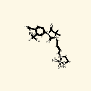 CC1(C)C(=O)N(c2ccc(C#N)c(C(F)(F)F)c2)C(=O)N1CC=CCN1CCNS1(O)O